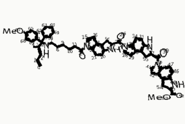 C=CC=C(C)C(NCCCCCC(=O)n1ccc2c3c(ccc21)NC(C(=O)n1ccc2c4c(ccc21)NC(C(=O)n1ccc2c5c(ccc21)NC(C(=O)OC)C5)C4)C3)(c1ccccc1)c1ccc(OC)cc1